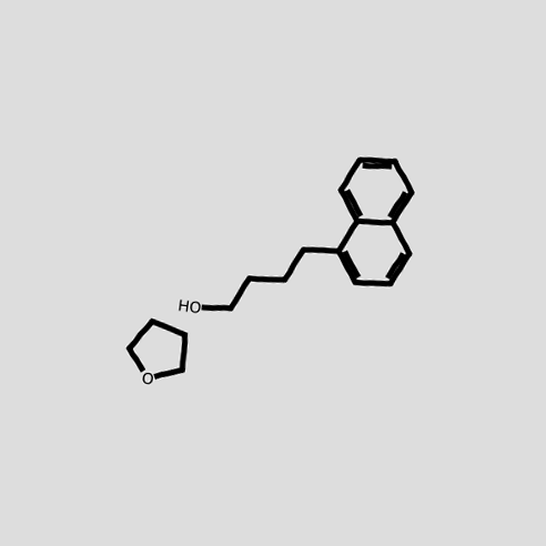 C1CCOC1.OCCCCc1cccc2ccccc12